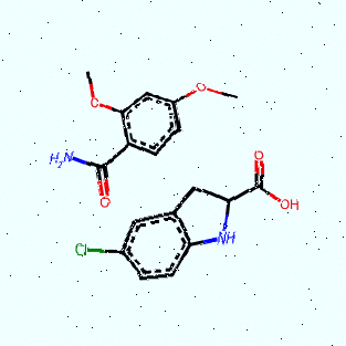 COc1ccc(C(N)=O)c(OC)c1.O=C(O)C1Cc2cc(Cl)ccc2N1